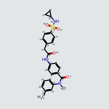 CCN(C(=O)c1ccc(NC(=O)Cc2ccc(S(=O)(=O)NC3CC3)cc2)cc1)c1cccc(C)c1